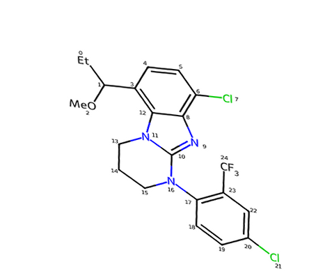 CCC(OC)c1ccc(Cl)c2nc3n(c12)CCCN3c1ccc(Cl)cc1C(F)(F)F